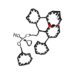 O=P(O)(OCC(c1ccccc1-c1ccccc1)c1ccccc1-c1ccccc1)Oc1ccccc1